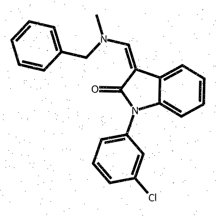 CN(C=C1C(=O)N(c2cccc(Cl)c2)c2ccccc21)Cc1ccccc1